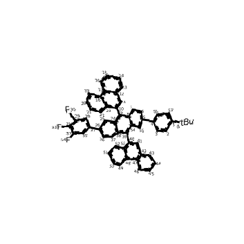 CC(C)(C)c1ccc(-c2ccc3c(-c4cc5ccccc5c5ccccc45)c4cc(-c5cc(F)c(F)c(F)c5)ccc4c(-c4cc5ccccc5c5ccccc45)c3c2)cc1